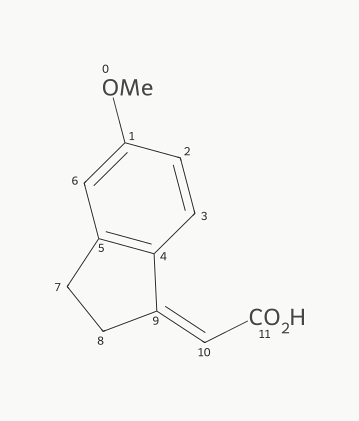 COc1ccc2c(c1)CC/C2=C/C(=O)O